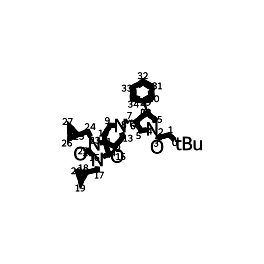 CC(C)(C)CC(=O)N1C[C@H](CN2CCC3(CC2)C(=O)N(CC2CC2)C(=O)N3CC2CC2)[C@@H](c2ccccc2)C1